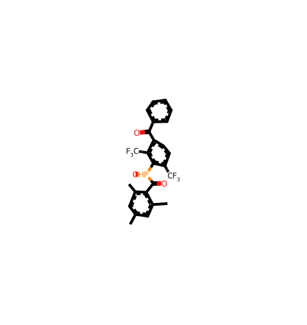 Cc1cc(C)c(C(=O)[PH](=O)c2c(C(F)(F)F)ccc(C(=O)c3ccccc3)c2C(F)(F)F)c(C)c1